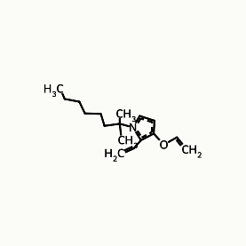 C=COc1ccn(C(C)(C)CCCCCC)c1C=C